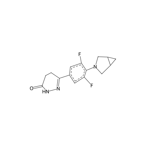 O=C1CCC(c2cc(F)c(N3CC4CC4C3)c(F)c2)=NN1